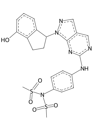 CS(=O)(=O)N(c1ccc(Nc2ncc3cnn(C4CCc5c(O)cccc54)c3n2)cc1)S(C)(=O)=O